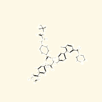 Cc1ccc(C(=O)N2CCOCC2)cc1-c1ccc(C[C@H](NC(=O)[C@H]2CC[C@H](CNC(=O)OC(C)(C)C)CC2)C(=O)Nc2ccc(-c3nn[nH]n3)cc2)cc1